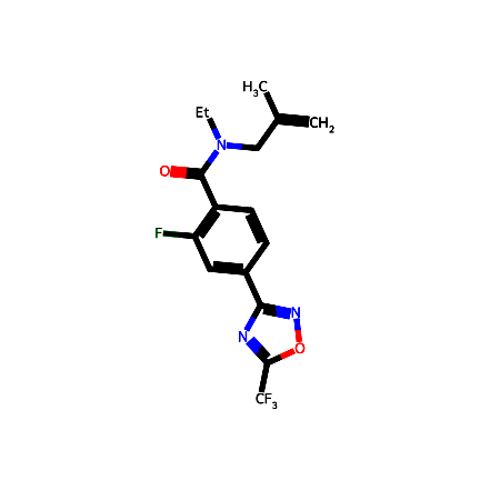 C=C(C)CN(CC)C(=O)c1ccc(-c2noc(C(F)(F)F)n2)cc1F